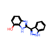 Oc1cccc2nc(-c3n[nH]c4ccccc34)[nH]c12